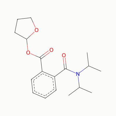 CC(C)N(C(=O)c1ccccc1C(=O)OC1CCCO1)C(C)C